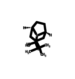 CC(C)(C)[C@@]1(O)C[C@H]2CC[C@@H](C1)N2C(=O)O